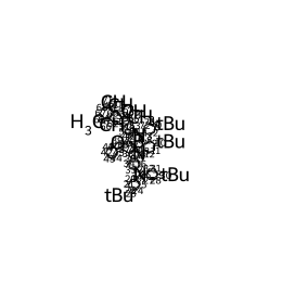 CC(C)(C)c1ccc(N2B3c4cc(C(C)(C)C)ccc4-n4c5cc(N(c6ccc(C(C)(C)C)cc6)c6ccc(C(C)(C)C)cc6)ccc5c5c6c(oc7ccccc76)c(c3c54)-c3cc4c(cc32)C(C)(C)c2cc3c(cc2-4)C(C)(C)CCC3(C)C)cc1